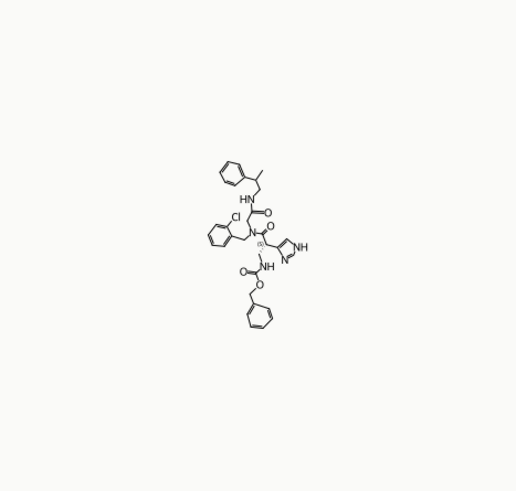 CC(CNC(=O)CN(Cc1ccccc1Cl)C(=O)[C@@H](CNC(=O)OCc1ccccc1)c1c[nH]cn1)c1ccccc1